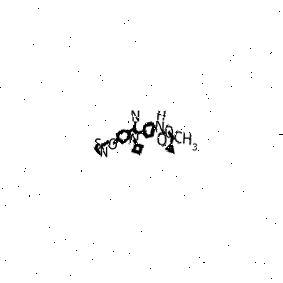 CC(OC(=O)Nc1ccc(-c2c(C#N)c3ccc(OCc4nccs4)cc3n2C2CCC2)cc1)C1CC1